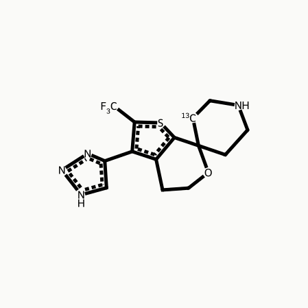 FC(F)(F)c1sc2c(c1-c1c[nH]nn1)CCOC21CCNC[13CH2]1